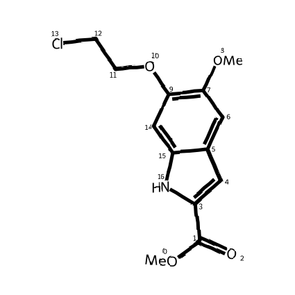 COC(=O)c1cc2cc(OC)c(OCCCl)cc2[nH]1